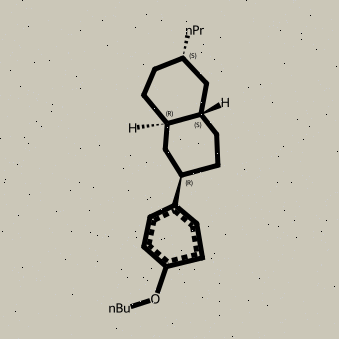 CCCCOc1ccc([C@@H]2CC[C@H]3C[C@@H](CCC)CC[C@@H]3C2)cc1